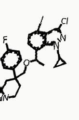 CC(OCC1(c2ccc(F)cc2)CCNCC1)c1ccc(I)c2c(Cl)nn(C3CC3)c12